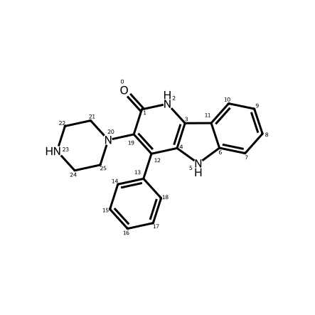 O=c1[nH]c2c([nH]c3ccccc32)c(-c2ccccc2)c1N1CCNCC1